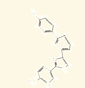 Cc1ccc(-c2nc(-c3cccc(-c4ccc(F)cc4)c3)cs2)cn1